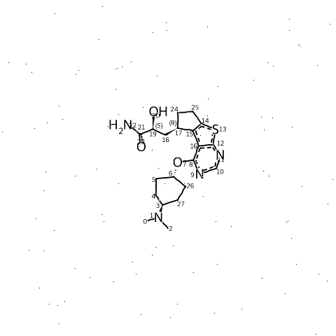 CN(C)[C@H]1CC[C@H](Oc2ncnc3sc4c(c23)[C@@H](C[C@H](O)C(N)=O)CC4)CC1